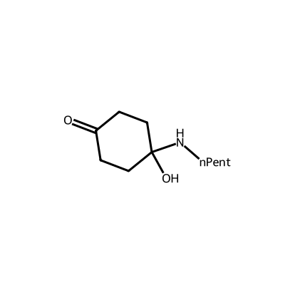 CCCCCNC1(O)CCC(=O)CC1